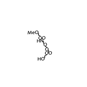 COCCCOC(=O)NCCOCCOCC(=O)OCCCO